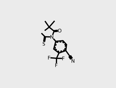 CC(=S)N(C(=O)C(C)(C)C)c1ccc(C#N)c(C(F)(F)F)c1